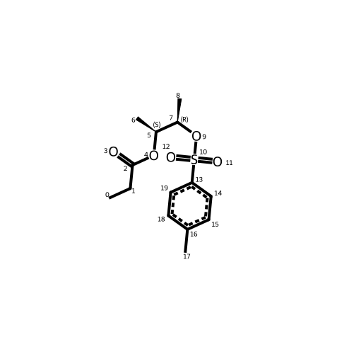 CCC(=O)O[C@@H](C)[C@@H](C)OS(=O)(=O)c1ccc(C)cc1